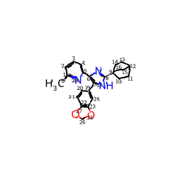 Cc1cccc(-c2nc(C34CCC(CC3)CC4)[nH]c2-c2ccc3c(c2)OCO3)n1